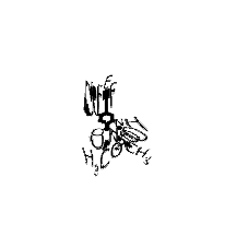 CC(=O)N(n1c(=O)[nH]c2cc(C(F)(F)F)c(-n3ccnc3)cc2c1=O)S(C)(=O)=O